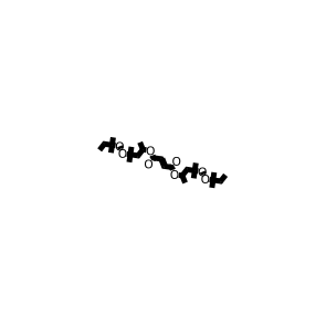 CCC(C)(C)OOC(C)(C)CC(C)OC(=O)/C=C/C(=O)OC(C)CC(C)(C)OOC(C)(C)CC